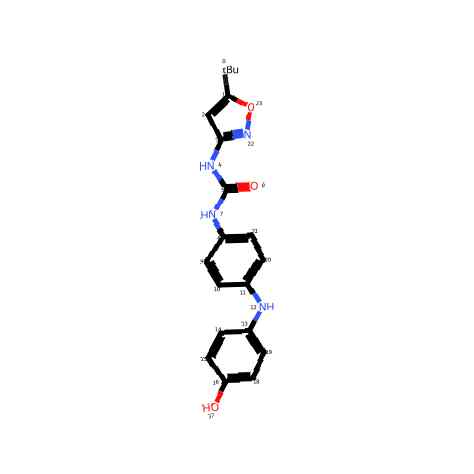 CC(C)(C)c1cc(NC(=O)Nc2ccc(Nc3ccc(O)cc3)cc2)no1